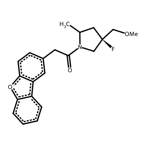 COC[C@@]1(F)CC(C)N(C(=O)Cc2ccc3oc4ccccc4c3c2)C1